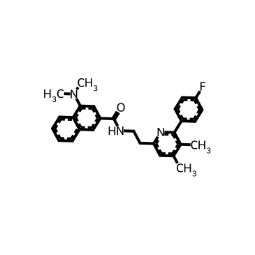 Cc1cc(CCNC(=O)c2cc(N(C)C)c3ccccc3c2)nc(-c2ccc(F)cc2)c1C